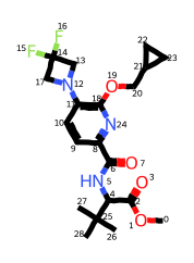 COC(=O)C(NC(=O)c1ccc(N2CC(F)(F)C2)c(OCC2CC2)n1)C(C)(C)C